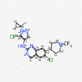 CC1(n2ncc(Nc3ncc4cc(Cl)c(C5CCN(C(F)(F)F)CC5)cc4n3)c2Cl)CC1